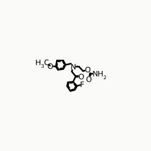 COc1ccc(CN(CCOC(N)=O)CC(=O)c2ccccc2F)cc1